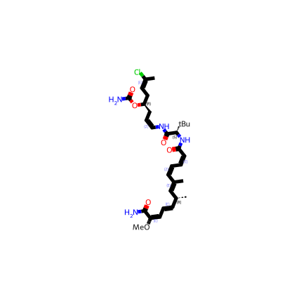 CO/C(=C/C=C/[C@@H](C)/C=C(C)/C=C\C=C/C(=O)N[C@H](C(=O)N/C=C\C[C@H](C/C=C(\C)Cl)OC(N)=O)C(C)(C)C)C(N)=O